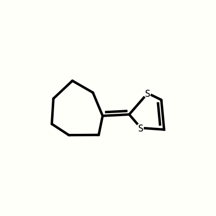 C1=CSC(=C2CCCCCC2)S1